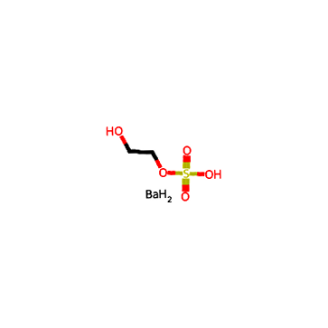 O=S(=O)(O)OCCO.[BaH2]